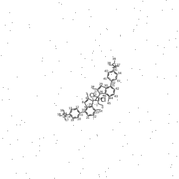 C[CH2][Zr]([Cl])([Cl])([CH]1C(C)=Cc2c(-c3ccc([Si](C)(C)C)cc3)ccc(C)c21)[CH]1C(C)=Cc2c(-c3ccc([Si](C)(C)C)cc3)ccc(C)c21